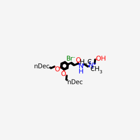 CCCCCCCCCCCCOc1ccc(/C=C/C(=O)NCC[N+](C)(C)CCO)cc1OCCCCCCCCCCCC.[Br-]